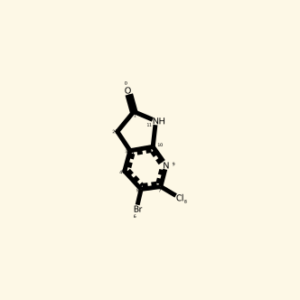 O=C1Cc2cc(Br)c(Cl)nc2N1